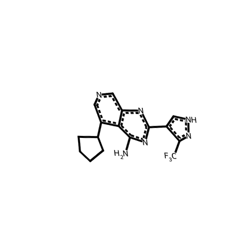 Nc1nc(-c2c[nH]nc2C(F)(F)F)nc2cncc(C3CCCC3)c12